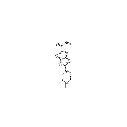 C[C@@H]1CN(c2nc3sc(C(N)=O)cc3s2)CCN1